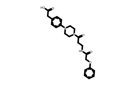 O=C(O)Cc1ccc(N2CCN(C(=O)CCNC(=O)COc3ccccc3)CC2)cc1